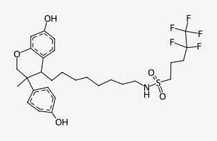 CC1(c2ccc(O)cc2)COc2cc(O)ccc2C1CCCCCCCCNS(=O)(=O)CCCC(F)(F)C(F)(F)F